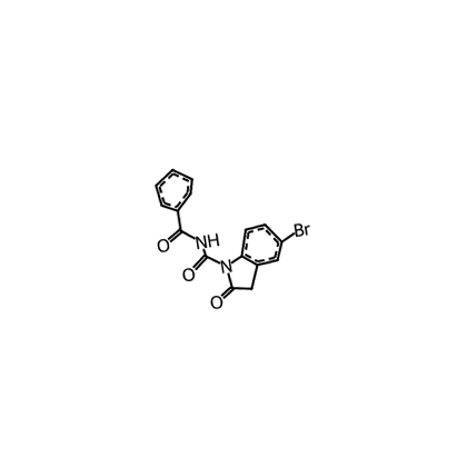 O=C(NC(=O)N1C(=O)Cc2cc(Br)ccc21)c1ccccc1